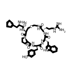 CC(=O)N[C@@H](Cc1ccccc1)C(=O)N[C@H]1CCCNC(=O)[C@H](CCCNC(=N)N)NC(=O)[C@H](Cc2c[nH]c3ccccc23)NC(=O)[C@@H](Cc2ccc(O)cc2)NC(=O)[C@@H]2CCCN2C1=O